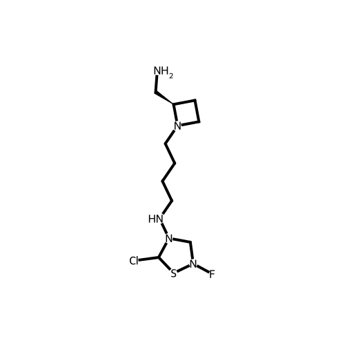 NC[C@H]1CCN1CCCCNN1CN(F)SC1Cl